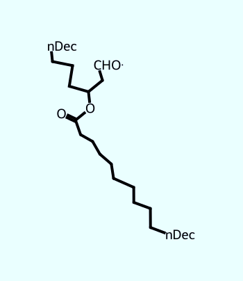 CCCCCCCCCCCCCCCCCCCC(=O)OC(C[C]=O)CCCCCCCCCCCCC